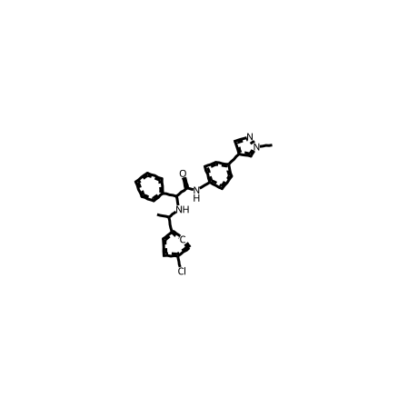 CC(NC(C(=O)Nc1ccc(-c2cnn(C)c2)cc1)c1ccccc1)c1ccc(Cl)cc1